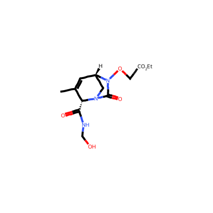 CCOC(=O)CON1C(=O)N2C[C@@H]1C=C(C)[C@H]2C(=O)NCO